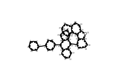 c1ccc(-c2ccc(-c3c4ccccc4c(-c4cccc5oc6ccc7ccccc7c6c45)c4ccccc34)cc2)cc1